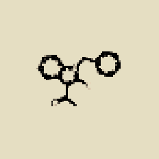 CC(=O)c1c(Cl)n(Cc2ccccc2)c2ccccc12